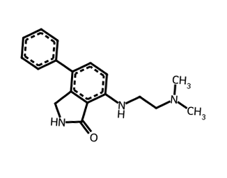 CN(C)CCNc1ccc(-c2ccccc2)c2c1C(=O)NC2